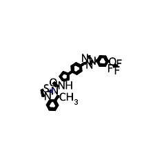 CCc1ccccc1N1CCS/C1=N\C(=O)NC1CCC(c2ccc(-c3ncn(-c4ccc(OC(F)(F)F)cc4)n3)cc2)C1